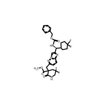 COC(=O)C1(Cc2ccc3nc([C@@H](NC(=O)OCc4ccccc4)C4CCC(F)(F)CC4)cn3n2)CC(F)(F)CNC1=O